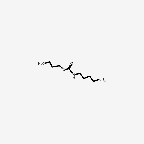 CCCCCNC(=O)OCCCC